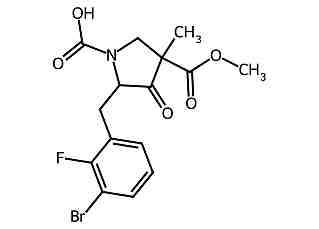 COC(=O)C1(C)CN(C(=O)O)C(Cc2cccc(Br)c2F)C1=O